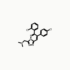 CN(C)Cc1nnc2cc(-c3ccc(Cl)cc3)c(-c3ccccc3Cl)nn12